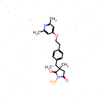 Cc1cc(OCCc2ccc([C@@H](C)[C@]3(C)CC(=O)N(P)C3=O)cc2)cc(C)n1